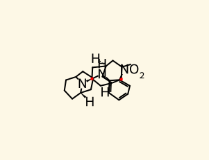 CC1C[C@@H]2C[C@H](C1)C[C@H](N1C3CCC[C@H]1CC(Nc1ccccc1[N+](=O)[O-])C3)C2